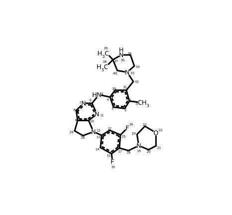 Cc1ccc(Nc2ncc3c(n2)N(c2cc(F)c(CN4CCOCC4)c(F)c2)CC3)cc1CN1CCNC(C)(C)C1